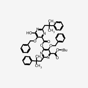 CC(C)(C)OC(=O)c1nc(CC(C)(C)c2ccccc2)nc(OC(=O)c2nc(CC(C)(C)c3ccccc3)nc(O)c2OCc2ccccc2)c1OCc1ccccc1